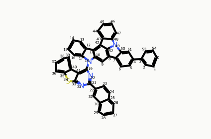 c1ccc(-c2ccc3c4cc5c(c6ccccc6n5-c5nc(-c6ccc7ccccc7c6)nc6sc7ccccc7c56)c5c6ccccc6n(c3c2)c45)cc1